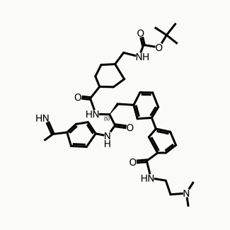 CC(=N)c1ccc(NC(=O)[C@H](Cc2cccc(-c3cccc(C(=O)NCCN(C)C)c3)c2)NC(=O)C2CCC(CNC(=O)OC(C)(C)C)CC2)cc1